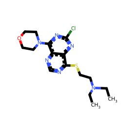 CCN(CC)CCSc1ncnc2c(N3CCOCC3)nc(Cl)nc12